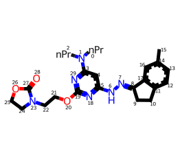 CCCN(CCC)c1cc(N/N=C2\CCc3ccc(C)cc32)nc(OCCN2CCOC2=O)n1